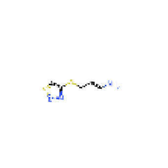 NC=CCSc1csnn1